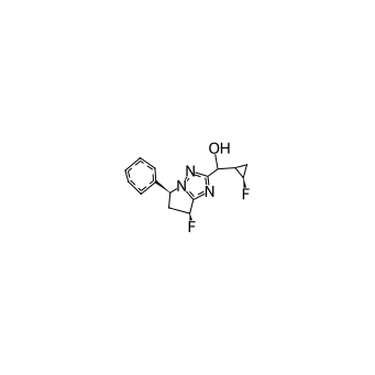 OC(c1nc2n(n1)[C@H](c1ccccc1)C[C@@H]2F)C1C[C@H]1F